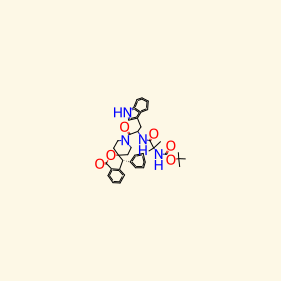 CC(C)(C)OC(=O)NC(C)(C)C(=O)NC(Cc1c[nH]c2ccccc12)C(=O)N1CCC2(CC1)OC(=O)c1ccccc1[C@H]2c1ccccc1